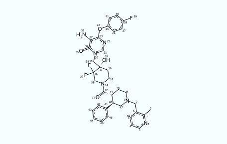 Cc1nccnc1CN1CC[C@@H](C(=O)N2CC[C@](O)(Cn3cnc(Oc4ccc(F)cc4)c(N)c3=O)C(F)(F)C2)[C@H](c2ccccc2)C1